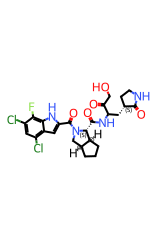 O=C(CO)C(C[C@@H]1CCNC1=O)NC(=O)[C@@H]1[C@H]2CCC[C@H]2CN1C(=O)c1cc2c(Cl)cc(Cl)c(F)c2[nH]1